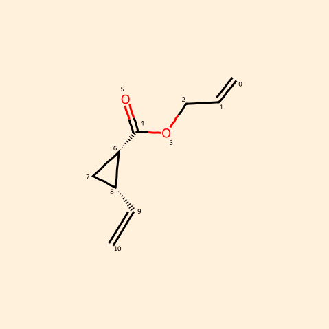 C=CCOC(=O)[C@H]1C[C@H]1C=C